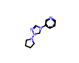 C1=NN(N2CCCC2)CN1c1cccnc1